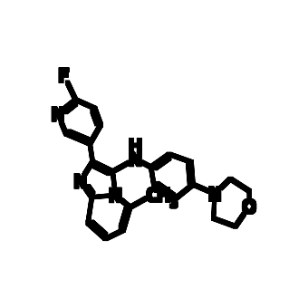 Cc1cccc2nc(-c3ccc(F)nc3)c(Nc3ccc(N4CCOCC4)cc3)n12